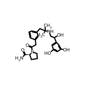 CC(C)(Cc1cccc(CC(=O)N2CCC[C@H]2C(N)=O)c1)NCC(O)c1cc(O)cc(O)c1